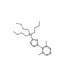 CCC[CH2][Sn]([CH2]CCC)([CH2]CCC)[c]1ccc(-c2c(C)cccc2C)s1